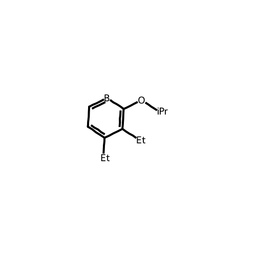 CCc1ccbc(OC(C)C)c1CC